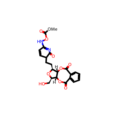 COC(=O)ONC1=NC(=O)C(CC[C@@H]2O[C@H](CO)[C@H]3OC(=O)c4ccccc4C(=O)O[C@H]32)C=C1